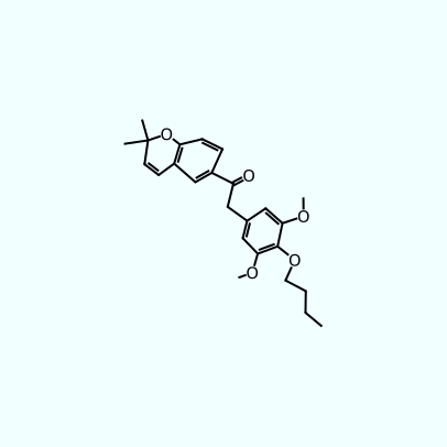 CCCCOc1c(OC)cc(CC(=O)c2ccc3c(c2)C=CC(C)(C)O3)cc1OC